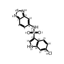 O=S(=O)(Nc1ccc2nsnc2c1)c1c[nH]c2cc(Cl)ccc12